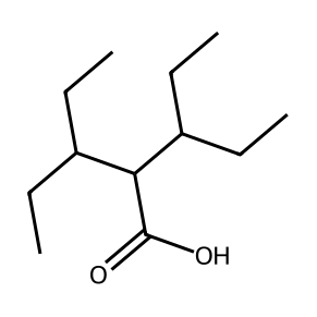 CCC(CC)C(C(=O)O)C(CC)CC